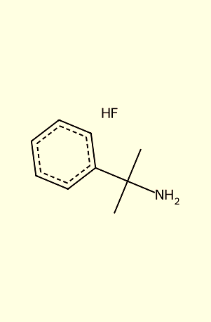 CC(C)(N)c1ccccc1.F